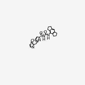 Cn1ccnc1Cn1ccc([S+]([O-])NC(=O)Nc2c3c(cc4c2CCC4)CCC3)n1